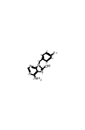 Nc1ncnc2c1nc(O)n2Cc1ccc(F)cc1